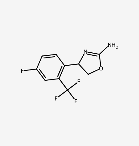 NC1=NC(c2ccc(F)cc2C(F)(F)F)CO1